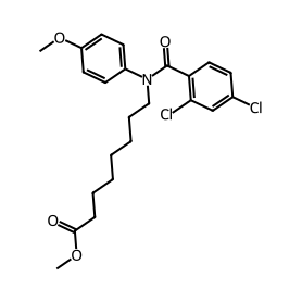 COC(=O)CCCCCCCN(C(=O)c1ccc(Cl)cc1Cl)c1ccc(OC)cc1